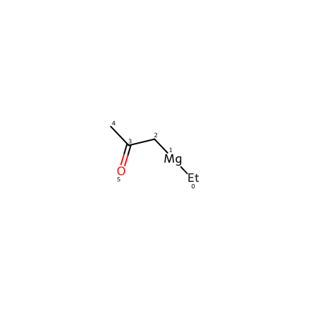 C[CH2][Mg][CH2]C(C)=O